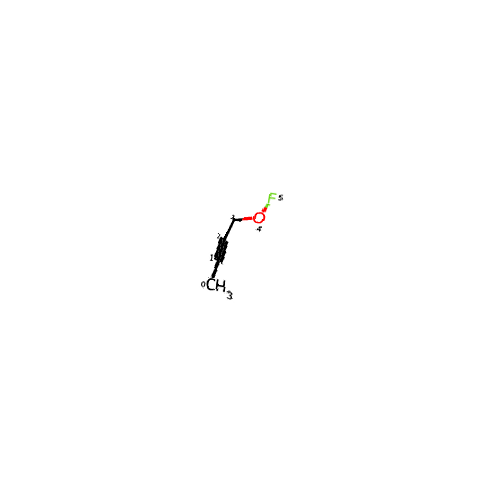 CC#CCOF